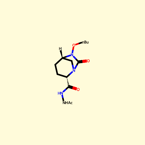 CCCCON1C(=O)N2C[C@@H]1CC[C@H]2C(=O)NNC(C)=O